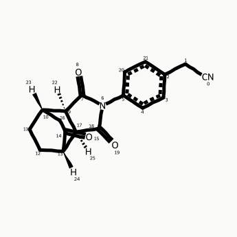 N#CCc1ccc(N2C(=O)[C@@H]3[C@H]4CC[C@H](C(=O)C4)[C@@H]3C2=O)cc1